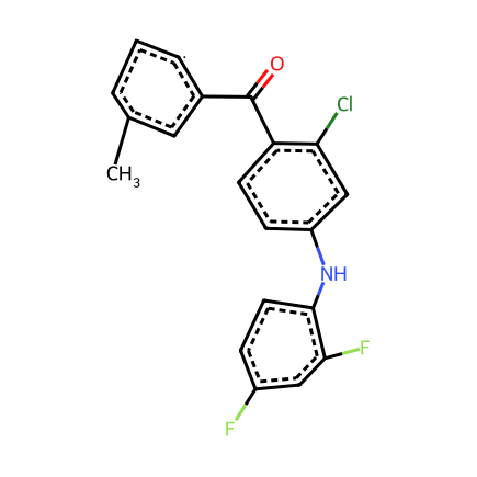 Cc1cc[c]c(C(=O)c2ccc(Nc3ccc(F)cc3F)cc2Cl)c1